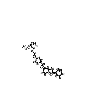 CN(C)CCCOc1ccc(COc2ccc3oc(-c4cccnc4)nc3c2)cc1